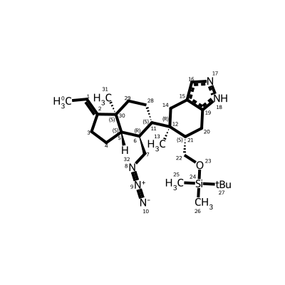 CC=C1CC[C@H]2[C@H](CN=[N+]=[N-])[C@@H]([C@@]3(C)Cc4cn[nH]c4C[C@@H]3CO[Si](C)(C)C(C)(C)C)CC[C@]12C